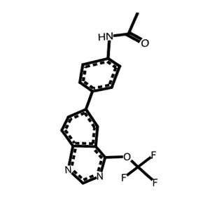 CC(=O)Nc1ccc(-c2ccc3ncnc(OC(F)(F)F)c3c2)cc1